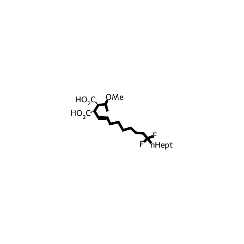 CCCCCCCC(F)(F)CCCCCCC=C[C@H](C(=O)O)[C@H](C(=O)O)C(C)OC